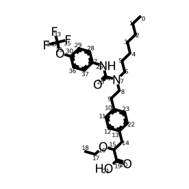 CCCCCCCN(CCc1ccc(CC(OCC)C(=O)O)cc1)C(=O)Nc1ccc(OC(F)(F)F)cc1